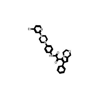 CCc1ccnc(N2CCN(c3ccc(NC(=O)C(=O)c4c(-c5ccccc5)cc5n4CCOC5)cc3)CC2)c1